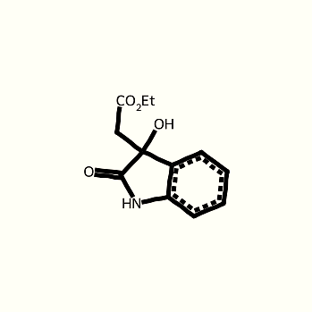 CCOC(=O)CC1(O)C(=O)Nc2ccccc21